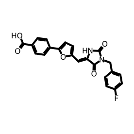 O=C(O)c1ccc(-c2ccc(/C=C3\NC(=O)N(Cc4ccc(F)cc4)C3=O)o2)cc1